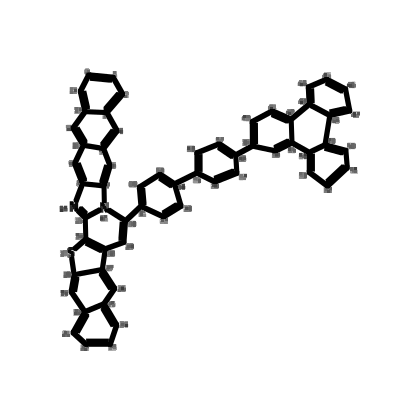 c1ccc2cc3cc4c(cc3cc2c1)nc1c2sc3cc5ccccc5cc3c2cc(-c2ccc(-c3ccc(-c5ccc6c7ccccc7c7ccccc7c6c5)cc3)cc2)n41